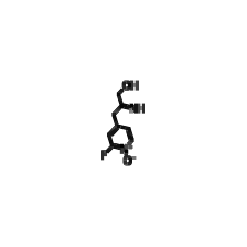 N=C(CO)Cc1cc[n+]([O-])c(F)c1